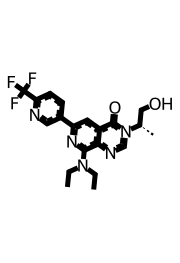 CCN(CC)c1nc(-c2ccc(C(F)(F)F)nc2)cc2c(=O)n([C@@H](C)CO)cnc12